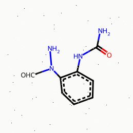 NC(=O)Nc1ccccc1N(N)C=O